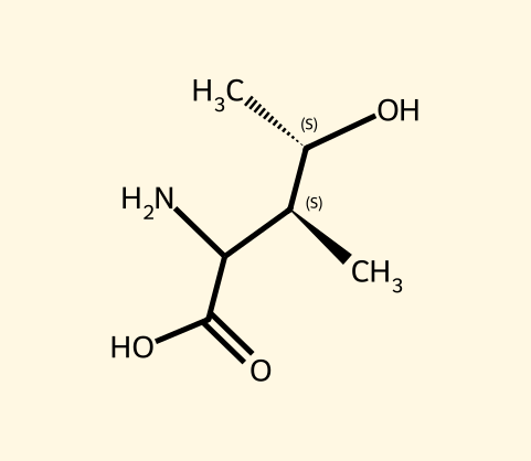 C[C@H](O)[C@@H](C)C(N)C(=O)O